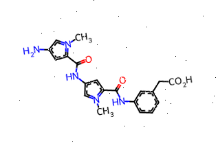 Cn1cc(N)cc1C(=O)Nc1cc(C(=O)Nc2cccc(CC(=O)O)c2)n(C)c1